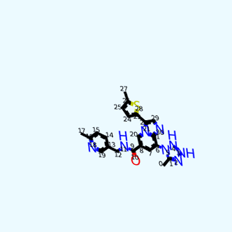 CC1=NNNN1c1cc(C(=O)NCc2ccc(C)nc2)cn2c(-c3ccc(C)s3)cnc12